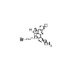 COc1ccc(OCCCCCBr)c(C2Sc3cc(Cl)ccc3N(C)C2=O)c1